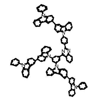 c1ccc(-n2c3ccccc3c3cc(-c4ccc5c(c4)c4ccccc4n5-c4ccc(-c5nc(-c6cc(-n7c8ccccc8c8cc(-c9ccc%10c(c9)c9ccccc9n%10-c9ccccc9)ccc87)cc(-n7c8ccccc8c8cc(-c9ccc%10c(c9)c9ccccc9n%10-c9ccccc9)ccc87)c6)c6ccccc6n5)cc4)ccc32)cc1